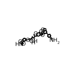 CNS(=O)(=O)c1cccc(OC[C@@H](O)CNC2COC3(CCN(S(=O)(=O)c4cc(-c5ccc(CN)cc5)cc5c4OCC5)CC3)C2)c1